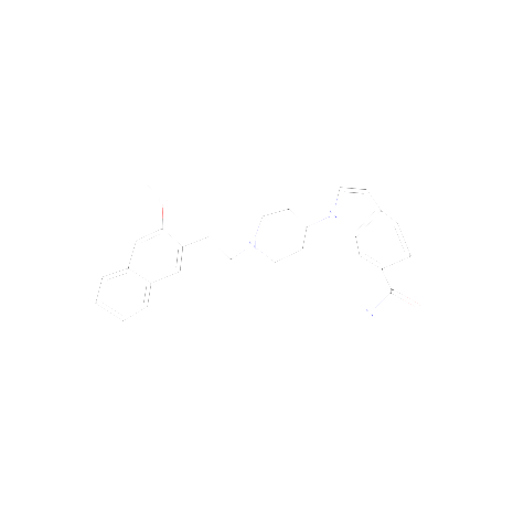 COc1cc2ccccc2cc1CCN1CCC(n2ccc3ccc(C(N)=O)cc32)CC1